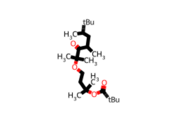 CC(CC(C)C(C)(C)C)C(=O)C(C)(C)OCCC(C)(C)OC(=O)C(C)(C)C